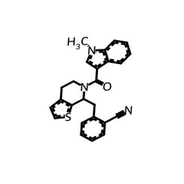 Cn1cc(C(=O)N2CCc3ccsc3C2Cc2ccccc2C#N)c2ccccc21